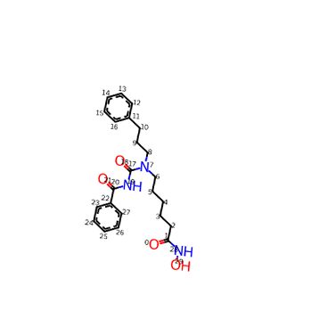 O=C(CCCCCN(CCCc1ccccc1)C(=O)NC(=O)c1ccccc1)NO